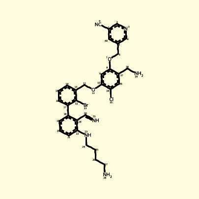 N#Cc1cncc(COc2cc(OCc3cccc(-c4cccc(NCCCCN)c4C=N)c3Br)c(Cl)cc2CN)c1